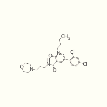 CCCCn1cc(-c2ccc(Cl)cc2Cl)cc(C(=O)NCCCN2CCOCC2)c1=O